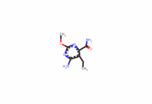 CCc1c(N)nc(OC)nc1C(N)=O